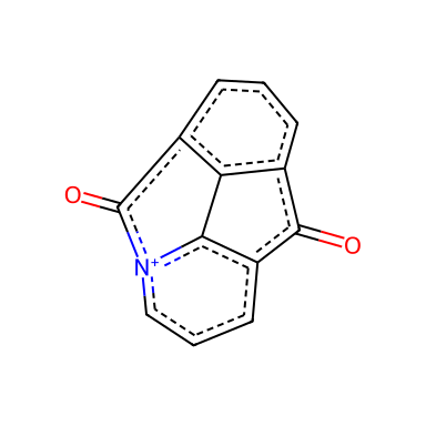 O=c1c2cccc3c2-c2c1ccc[n+]2c3=O